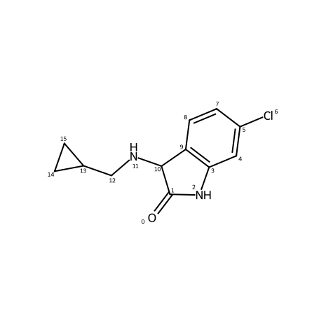 O=C1Nc2cc(Cl)ccc2C1NCC1CC1